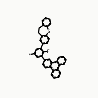 Fc1cc(-c2ccc3c(c2)CCc2ccccc2S3)c(F)c(-c2ccc3c4ccccc4c4ccccc4c3c2)c1